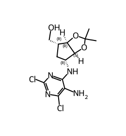 CC1(C)O[C@@H]2[C@@H](CO)C[C@@H](Nc3nc(Cl)nc(Cl)c3N)[C@@H]2O1